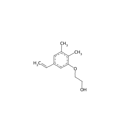 C=Cc1cc(C)c(C)c(OCCO)c1